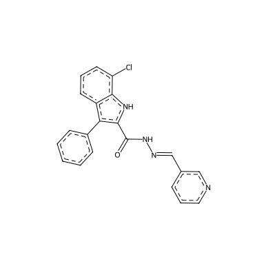 O=C(NN=Cc1cccnc1)c1[nH]c2c(Cl)cccc2c1-c1ccccc1